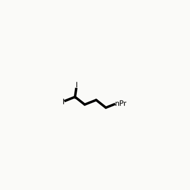 CCCCCC[C](I)I